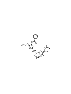 C=CCO[C@@H]1O[C@@H]([C@H](C)CO[C@@H]2O[C@@H]([C@@H](CC)OC(C)=O)C(C)[C@@H]2OC(C)=O)C(C)[C@@H]1OC(=O)c1ccccc1